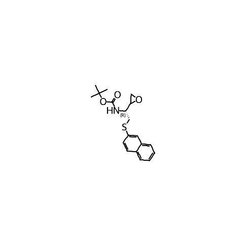 CC(C)(C)OC(=O)N[C@@H](CSc1ccc2ccccc2c1)C1CO1